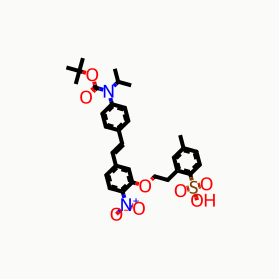 Cc1ccc(S(=O)(=O)O)c(CCOc2cc(C=Cc3ccc(N(C(=O)OC(C)(C)C)C(C)C)cc3)ccc2[N+](=O)[O-])c1